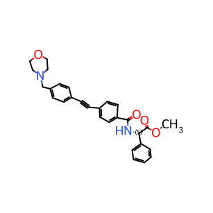 COC(=O)[C@@H](NC(=O)c1ccc(C#Cc2ccc(CN3CCOCC3)cc2)cc1)c1ccccc1